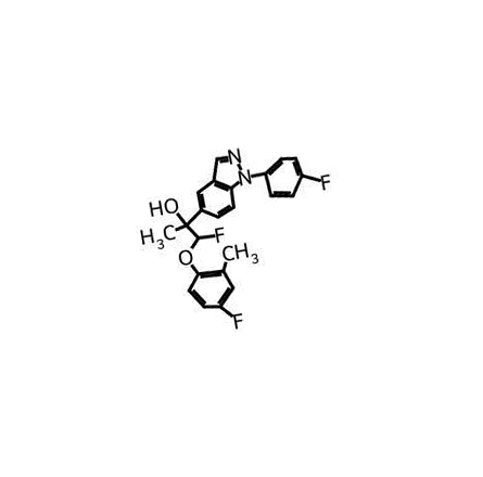 Cc1cc(F)ccc1OC(F)C(C)(O)c1ccc2c(cnn2-c2ccc(F)cc2)c1